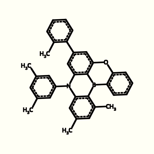 Cc1cc(C)cc(N2c3cc(C)cc(C)c3B3c4ccccc4Oc4cc(-c5ccccc5C)cc2c43)c1